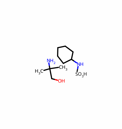 CC(C)(N)CO.O=S(=O)(O)NC1CCCCC1